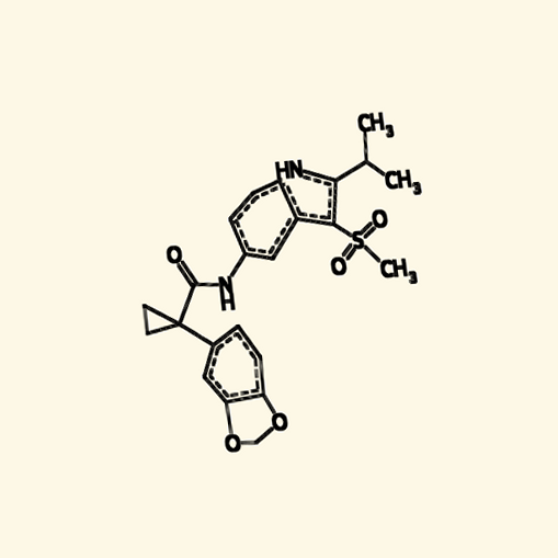 CC(C)c1[nH]c2ccc(NC(=O)C3(c4ccc5c(c4)OCO5)CC3)cc2c1S(C)(=O)=O